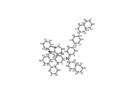 c1ccc(-c2cc(N(c3ccc(-c4ccc(-c5ccc6ccccc6c5)cc4)cc3)c3ccc4ccccc4c3)ccc2-c2ccccc2-n2c3ccccc3c3ccccc32)cc1